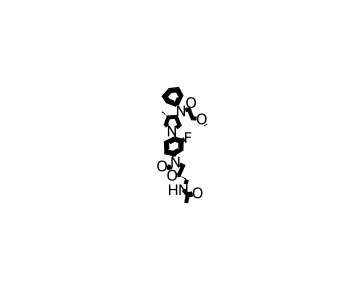 COCC(=O)N(c1ccccc1)[C@H]1CN(c2ccc(N3C[C@H](CNC(C)=O)OC3=O)cc2F)C[C@@H]1C